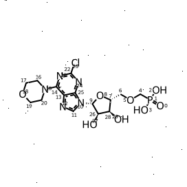 O=P(O)(O)COC[C@H]1O[C@@H](n2cnc3c(N4CCOCC4)nc(Cl)nc32)[C@H](O)[C@@H]1O